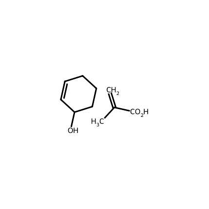 C=C(C)C(=O)O.OC1C=CCCC1